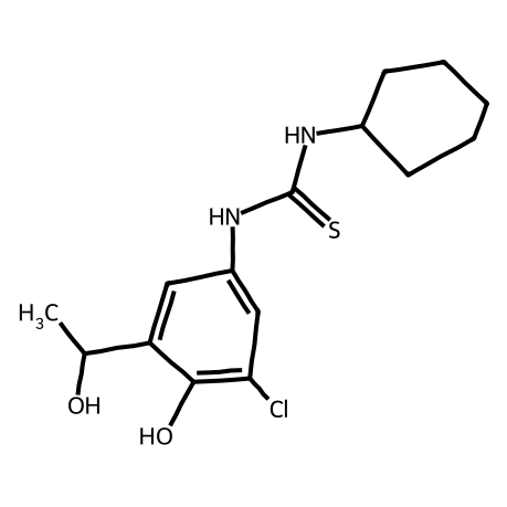 CC(O)c1cc(NC(=S)NC2CCCCC2)cc(Cl)c1O